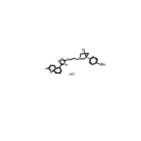 Cc1ccc2c(-c3nnc(SCCCN4C[C@@H]5C[C@]5(c5ccc(C(C)(C)C)cc5)C4)n3C)cccc2n1.Cl